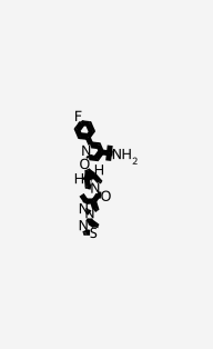 Cc1nn(-c2cscn2)cc1C(=O)N1C[C@@H]2C(Oc3cc(C(C)(C)N)cc(-c4ccc(F)cc4)n3)[C@@H]2C1